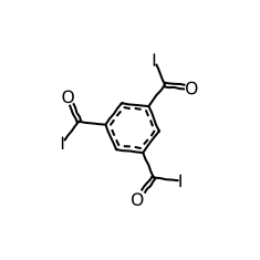 O=C(I)c1cc(C(=O)I)cc(C(=O)I)c1